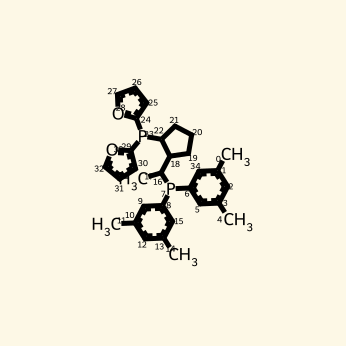 Cc1cc(C)cc(P(c2cc(C)cc(C)c2)C(C)C2CCCC2P(c2ccco2)c2ccco2)c1